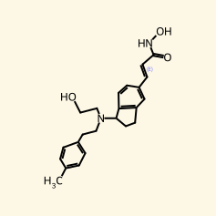 Cc1ccc(CCN(CCO)C2CCc3cc(/C=C/C(=O)NO)ccc32)cc1